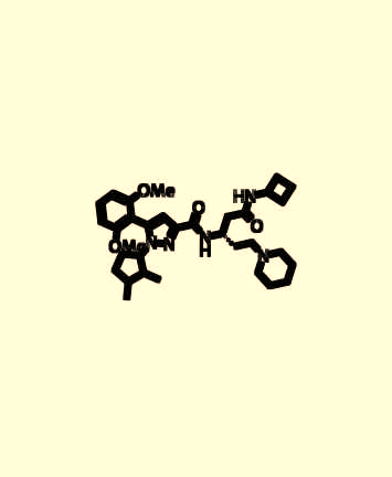 COc1cccc(OC)c1-c1cc(C(=O)N[C@@H](CCN2CCCCC2)CC(=O)NC2CCC2)nn1C1CCC(C)C1C